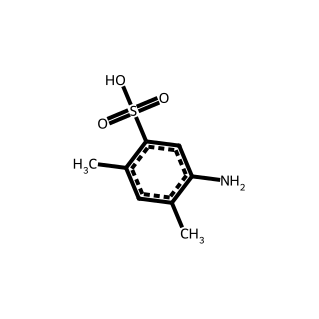 Cc1cc(C)c(S(=O)(=O)O)cc1N